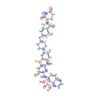 COc1cc(N2CCN(Cc3cc(F)c4c(c3)CN(C3CCC(=O)NC3=O)C4=O)CC2)c(C)cc1Nc1ncc(Br)c(Nc2ccc3nccnc3c2P(=O)(OC)OC)n1